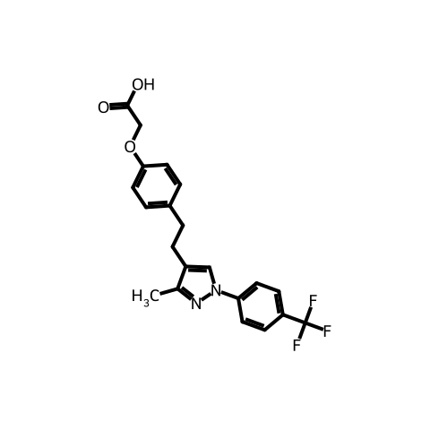 Cc1nn(-c2ccc(C(F)(F)F)cc2)cc1CCc1ccc(OCC(=O)O)cc1